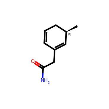 C[C@H]1C=C(CC(N)=O)C=CC1